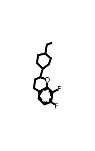 CCC1CCC(C2CCc3ccc(F)c(F)c3O2)CC1